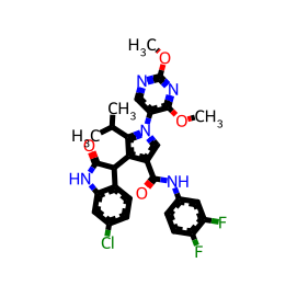 COc1ncc(-n2cc(C(=O)Nc3ccc(F)c(F)c3)c(C3C(=O)Nc4cc(Cl)ccc43)c2C(C)C)c(OC)n1